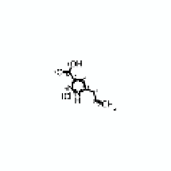 C=CCc1cc(C(=O)O)n[nH]1.Cl